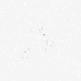 C=C/C(=C(/CC1CC1)N(C)C)c1nc(NC2CCC(Nc3ccccc3)CC2)ncc1C